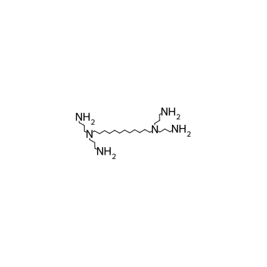 NCCCN(CCCN)CCCCCCCCCCCCN(CCCN)CCCN